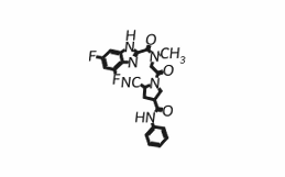 CN(CC(=O)N1CC(C(=O)Nc2ccccc2)CC1C#N)C(=O)c1nc2c(F)cc(F)cc2[nH]1